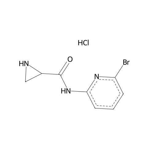 Cl.O=C(Nc1cccc(Br)n1)C1CN1